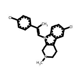 C/C(=C\n1c2c(c3cc(Cl)ccc31)CCN(C)C2)c1ccc(Cl)cc1